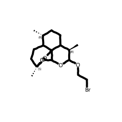 C[C@H]1C(OCCBr)OC2O[C@]3(C)CCC4[C@H](C)CCC1C24OO3